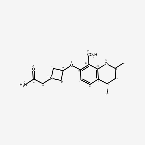 CC1C[C@H](C)c2ccc(OC3CN(CC(N)=O)C3)c(C(=O)O)c2O1